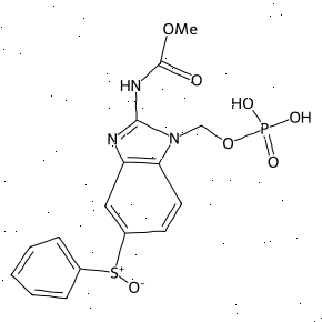 COC(=O)Nc1nc2cc([S+]([O-])c3ccccc3)ccc2n1COP(=O)(O)O